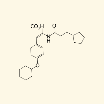 O=C(CCC1CCCC1)NC(=Cc1ccc(OC2CCCCC2)cc1)C(=O)O